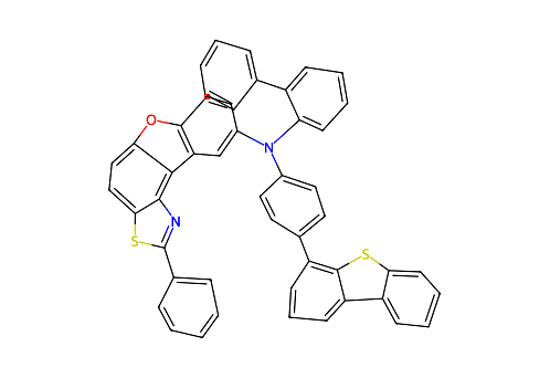 c1ccc(-c2nc3c(ccc4oc5ccc(N(c6ccc(-c7cccc8c7sc7ccccc78)cc6)c6ccccc6-c6ccccc6)cc5c43)s2)cc1